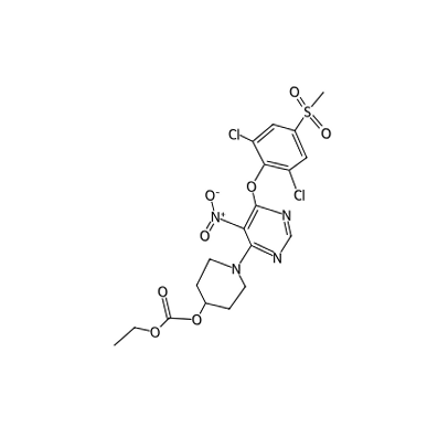 CCOC(=O)OC1CCN(c2ncnc(Oc3c(Cl)cc(S(C)(=O)=O)cc3Cl)c2[N+](=O)[O-])CC1